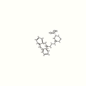 O=C(O)[C@@H]1CCCN(CCCN2Cc3ccccc3Sc3ccccc32)C1